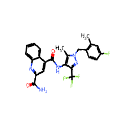 Cc1cc(F)ccc1Cn1nc(C(F)(F)F)c(NC(=O)c2cc(C(N)=O)nc3ccccc23)c1C